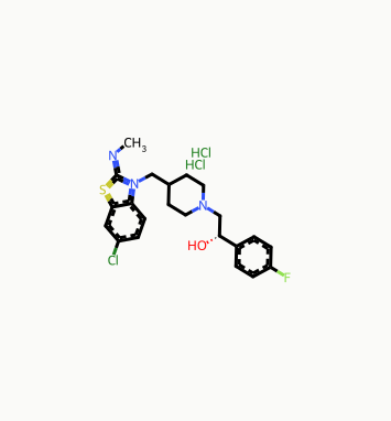 CN=c1sc2cc(Cl)ccc2n1CC1CCN(C[C@@H](O)c2ccc(F)cc2)CC1.Cl.Cl